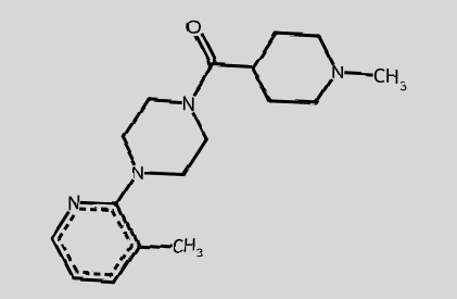 Cc1cccnc1N1CCN(C(=O)C2CCN(C)CC2)CC1